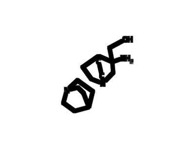 C1CN2CCC1CC2.NC1(CO)CN2CCC1CC2